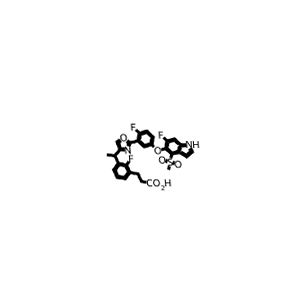 CC(c1coc(-c2cc(Oc3c(F)cc4[nH]ccc4c3S(C)(=O)=O)ccc2F)n1)c1cccc(CCC(=O)O)c1F